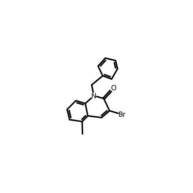 Cc1cccc2c1cc(Br)c(=O)n2Cc1ccccc1